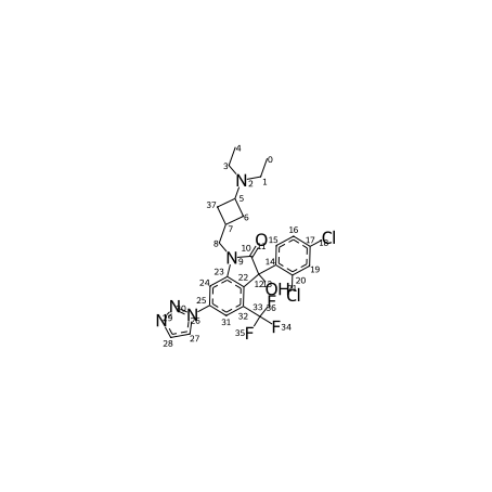 CCN(CC)C1CC(CN2C(=O)C(O)(c3ccc(Cl)cc3Cl)c3c2cc(-n2ccnn2)cc3C(F)(F)F)C1